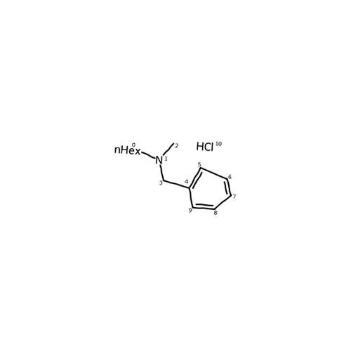 CCCCCCN(C)Cc1ccccc1.Cl